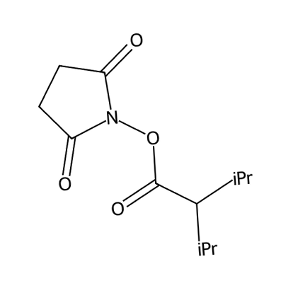 CC(C)C(C(=O)ON1C(=O)CCC1=O)C(C)C